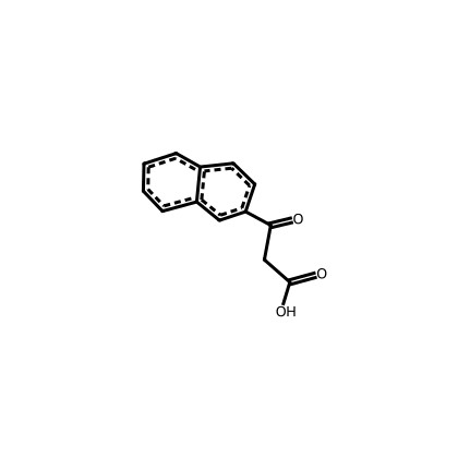 O=C(O)CC(=O)c1ccc2ccccc2c1